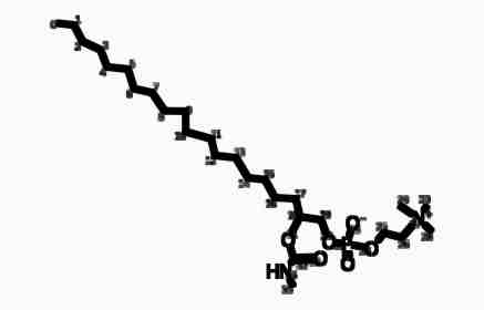 CCCCCCCCCCCCCCCCCCC(COP(=O)([O-])OCC[N+](C)(C)C)OC(=O)NC